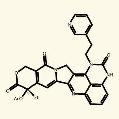 CC[C@@]1(OC(C)=O)C(=O)OCc2c1cc1n(c2=O)Cc2c-1nc1cccc3c1c2N(CCc1cccnc1)C(=O)N3